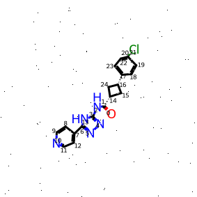 O=C(Nc1nnc(-c2ccncc2)[nH]1)[C@H]1C[C@@H](c2ccc(Cl)cc2)C1